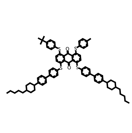 CCCCCC1CCC(c2ccc(-c3ccc(Sc4ccc(Sc5ccc(C)cc5)c5c4C(=O)c4c(Sc6ccc(-c7ccc(C8CCC(CCCCC)CC8)cc7)cc6)ccc(Sc6ccc(C(C)(C)C)cc6)c4C5=O)cc3)cc2)CC1